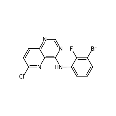 Fc1c(Br)cccc1Nc1ncnc2ccc(Cl)nc12